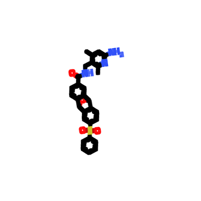 Cc1cc(N)nc(C)c1CNC(=O)c1ccc2c(c1)C1OC2c2cc(S(=O)(=O)c3ccccc3)ccc21